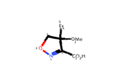 CCC1(OC)CON=C1C(=O)O